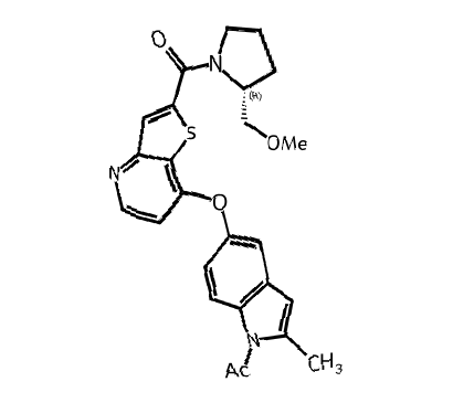 COC[C@H]1CCCN1C(=O)c1cc2nccc(Oc3ccc4c(c3)cc(C)n4C(C)=O)c2s1